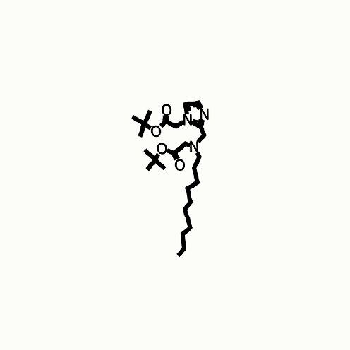 CCCCCCCCCCN(CC(=O)OC(C)(C)C)Cc1nccn1CC(=O)OC(C)(C)C